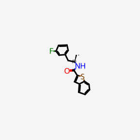 [CH2][C@H](Cc1cccc(F)c1)NC(=O)c1cc2ccccc2s1